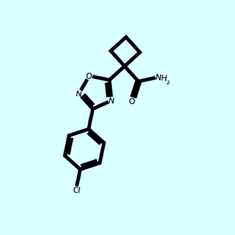 NC(=O)C1(c2nc(-c3ccc(Cl)cc3)no2)CCC1